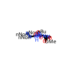 CCCCCCCCCN(CCCCCCCCC)CCCN(CCCCCCCCC)CCCCCC(=O)Nc1nc(OCCCC)nc2c1[nH]c(=O)n2CCCN(CCCN1CCOCC1)Cc1cccc(C(=O)OC)c1